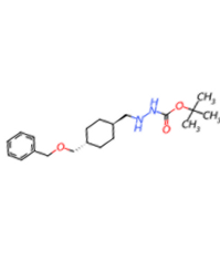 CC(C)(C)OC(=O)NNC[C@H]1CC[C@H](COCc2ccccc2)CC1